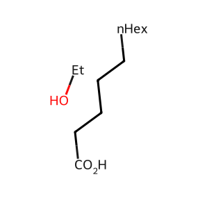 CCCCCCCCCCC(=O)O.CCO